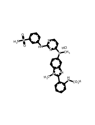 CN(c1ccc2c(c1)nc(-c1ccccc1NC(=O)O)n2C)c1ccnc(Nc2cccc(S(N)(=O)=O)c2)n1.Cl